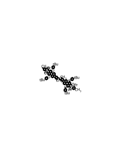 C=Cc1cc(C(C)C)c(N2C(=O)c3cc(Oc4ccc(C(C)(C)C)cc4)c4c5ccc6c7c(ccc(c8c(Oc9ccc(C(C)(C)C)cc9)cc(c3c48)C2=O)c75)-c2cc(CCc3cc4c(cc3C)-c3ccc5c7c(Oc8ccc(C(C)(C)C)cc8)cc8c9c(cc(Oc%10ccc(C(C)(C)C)cc%10)c(c%10ccc-4c3c5%10)c97)C(=O)N(c3c(C(C)C)cc(C)cc3C(C)C)C8=O)c(C)cc2-6)c(C(C)C)c1